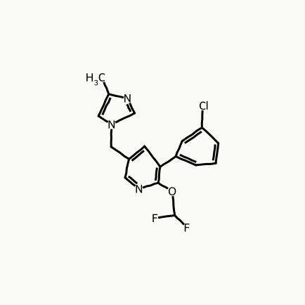 Cc1cn(Cc2cnc(OC(F)F)c(-c3cccc(Cl)c3)c2)cn1